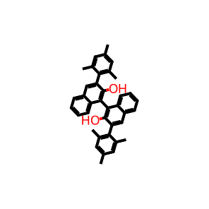 Cc1cc(C)c(-c2cc3ccccc3c(-c3c(O)c(-c4c(C)cc(C)cc4C)cc4ccccc34)c2O)c(C)c1